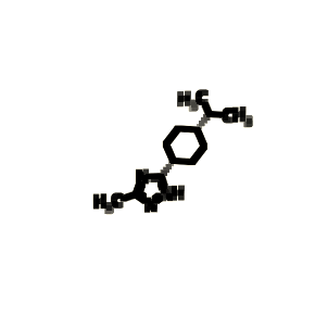 Cc1n[nH]c([C@H]2CC[C@@H](C(C)C)CC2)n1